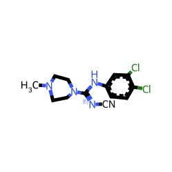 CN1CCN(/C(=N/C#N)Nc2ccc(Cl)c(Cl)c2)CC1